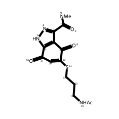 CNC(=O)c1n[nH]c2c1C(=O)C(SCCCNC(C)=O)=CC2=O